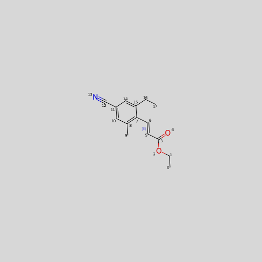 CCOC(=O)/C=C/c1c(C)cc(C#N)cc1CC